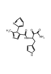 Cc1ncc(C(=O)NC(Cc2cc[nH]c2)C(=O)C(N)=O)n1-c1ccccn1